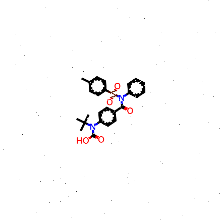 Cc1ccc(S(=O)(=O)N(C(=O)c2ccc(N(C(=O)O)C(C)(C)C)cc2)c2ccccc2)cc1